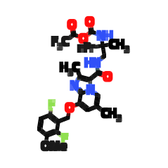 CCCC(C)(CNC(=O)c1c(C)nc2c(OCc3c(F)ccc(OC)c3F)cc(C)cn12)NC(=O)OC(=O)C(F)(F)F